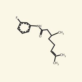 CC(C)=CCCC(C)CC(=O)Nc1cccc(F)c1